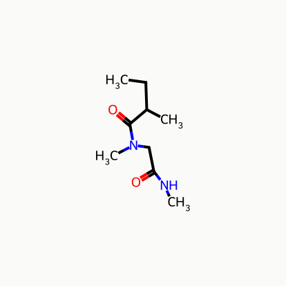 CCC(C)C(=O)N(C)CC(=O)NC